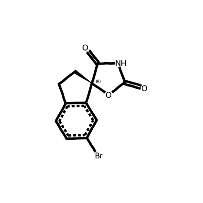 O=C1NC(=O)[C@]2(CCc3ccc(Br)cc32)O1